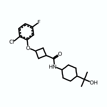 CC(C)(O)C1CCC(NC(=O)C2CC(Oc3cc(F)ccc3Cl)C2)CC1